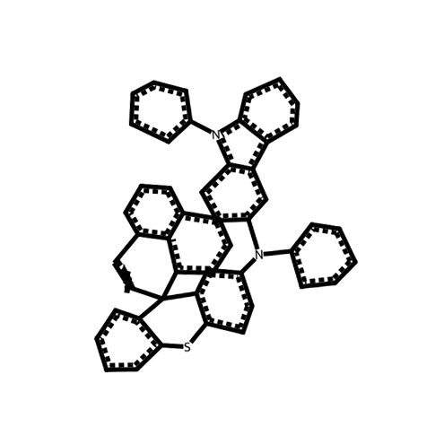 c1ccc(N(c2ccc3c(c2)C2(c4ccccc4S3)c3ccccc3-c3cccc4cccc2c34)c2ccc3c(c2)c2ccccc2n3-c2ccccc2)cc1